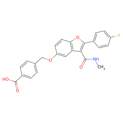 CNC(=O)c1c(-c2ccc(F)cc2)oc2ccc(OCc3ccc(C(=O)O)cc3)cc12